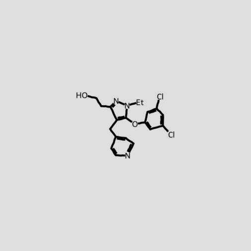 CCn1nc(CCO)c(Cc2ccncc2)c1Oc1cc(Cl)cc(Cl)c1